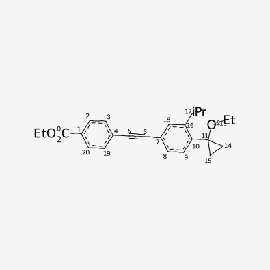 CCOC(=O)c1ccc(C#Cc2ccc(C3(OCC)CC3)c(C(C)C)c2)cc1